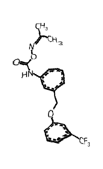 CC(C)=NOC(=O)Nc1cccc(COc2cccc(C(F)(F)F)c2)c1